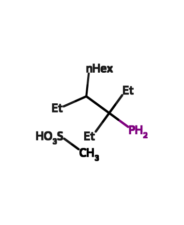 CCCCCCC(CC)C(P)(CC)CC.CS(=O)(=O)O